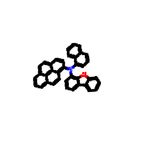 c1ccc2c(N(c3ccc4ccc5cccc6ccc3c4c56)c3cccc4c3oc3ccccc34)cccc2c1